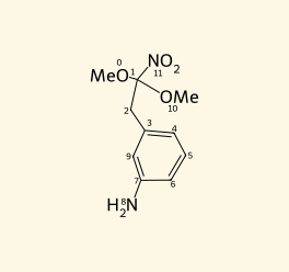 COC(Cc1cccc(N)c1)(OC)[N+](=O)[O-]